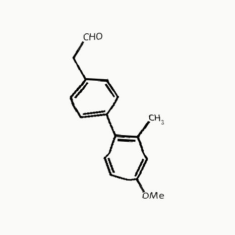 COc1ccc(-c2ccc(CC=O)cc2)c(C)c1